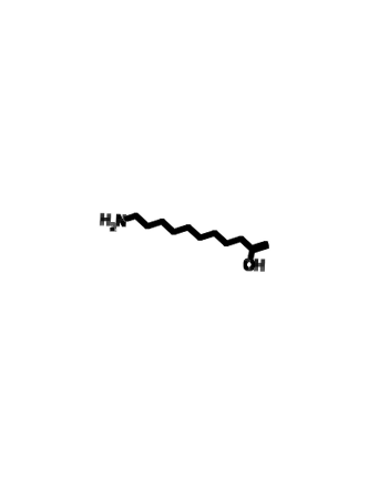 C=C(O)CCCCCCCCCN